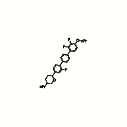 CCCOc1ccc(-c2ccc(-c3ccc(C4CCC(CCC)CO4)cc3F)cc2)c(F)c1F